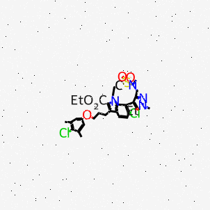 CCOC(=O)c1c(CCCOc2cc(C)c(Cl)c(C)c2)c2ccc(Cl)c3c2n1CCCS(=O)(=O)N(C)Cc1nn(C)c(CC)c1-3